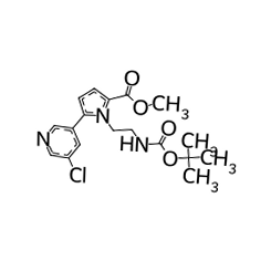 COC(=O)c1ccc(-c2cncc(Cl)c2)n1CCNC(=O)OC(C)(C)C